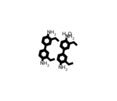 CCc1cc(-c2ccc(N)c(CC)c2)ccc1N.CCc1cc(-c2ccc(N)c(CC)c2)ccc1N.O